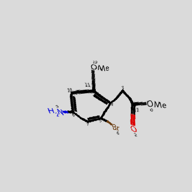 COC(=O)Cc1c(Br)cc(N)cc1OC